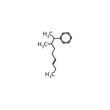 CCC=CCCC(C)C(C)c1ccccc1